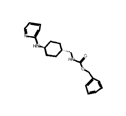 O=C(NC[C@H]1CC[C@H](Nc2ccccn2)CC1)OCc1ccccc1